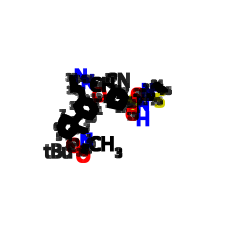 CN(Cc1ccccc1-c1ccc(Oc2ccc(S(=O)(=O)Nc3nccs3)cc2C#N)c(-c2ccnn2C)c1)C(=O)OC(C)(C)C